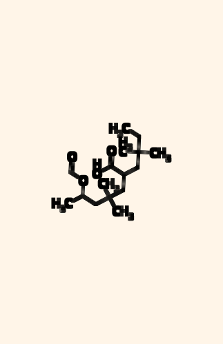 CCC(C)(C)CC(CC(C)(C)CC(C)OC=O)C(=O)O